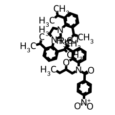 CCC1CN(C(=O)c2ccc([N+](=O)[O-])cc2)c2cccc([CH]=[Ru]([Cl])[CH]3N(c4c(C(C)C)cccc4C(C)C)CCN3c3c(C(C)C)cccc3C(C)C)c2O1